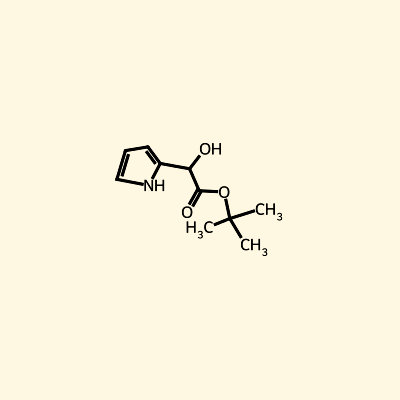 CC(C)(C)OC(=O)C(O)c1ccc[nH]1